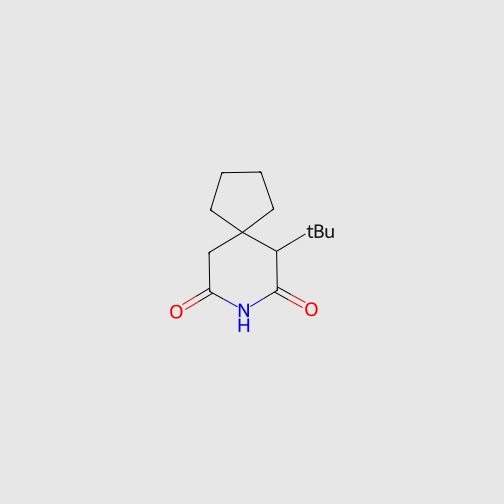 CC(C)(C)C1C(=O)NC(=O)CC12CCCC2